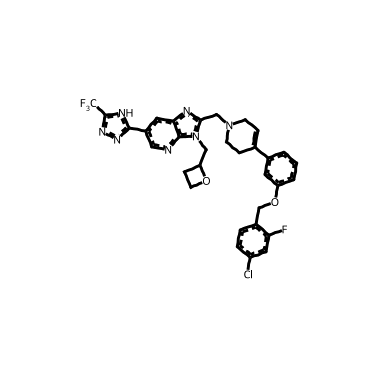 Fc1cc(Cl)ccc1COc1cccc(C2=CCN(Cc3nc4cc(-c5nnc(C(F)(F)F)[nH]5)cnc4n3CC3CCO3)CC2)c1